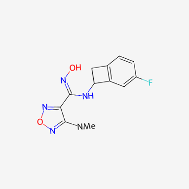 CNc1nonc1/C(=N/O)NC1Cc2ccc(F)cc21